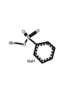 CC(C)(C)OS(=O)(=O)c1ccccc1.[NaH]